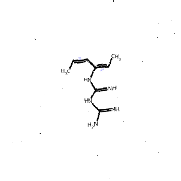 C/C=C\C(=C/C)NC(=N)NC(=N)N